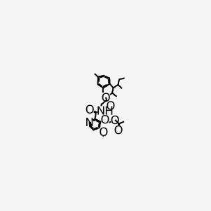 CCC(C)C(c1ccc(C)cc1C)C(C)OC(=O)CNC(=O)c1nccc(OC)c1OCOC(C)=O